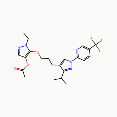 CCn1ncc(OC(C)=O)c1OCCCc1cn(-c2ccc(C(F)(F)F)cn2)nc1C(C)C